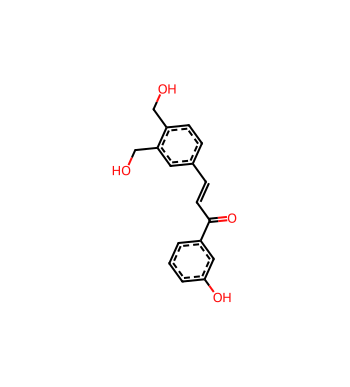 O=C(/C=C/c1ccc(CO)c(CO)c1)c1cccc(O)c1